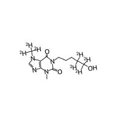 [2H]C([2H])([2H])n1cnc2c1c(=O)n(CCCC([2H])([2H])C([2H])([2H])O)c(=O)n2C